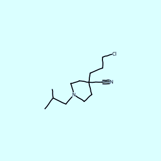 C[C](C)CN1CCC(C#N)(CCCCl)CC1